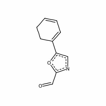 O=Cc1ncc(C2=CC=CCC2)o1